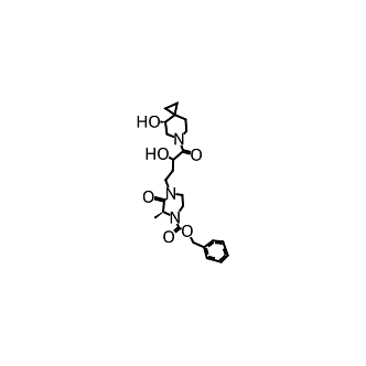 C[C@H]1C(=O)N(CCC(O)C(=O)N2CCC3(CC3)[C@H](O)C2)CCN1C(=O)OCc1ccccc1